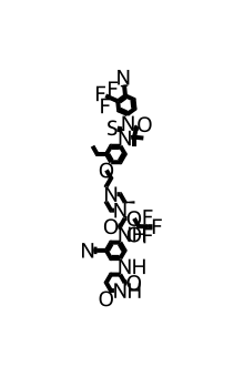 CCc1cc(N2C(=S)N(c3ccc(C#N)c(C(F)(F)F)c3)C(=O)C2(C)C)ccc1OCCN1CCN(C(OC(=O)C(F)(F)F)C(=O)Nc2cc(C#N)cc(NC3CCC(=O)NC3=O)c2)[C@H](C)C1